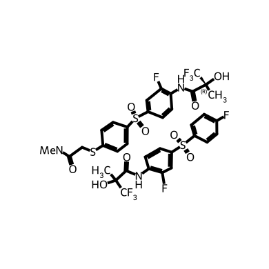 CC(O)(C(=O)Nc1ccc(S(=O)(=O)c2ccc(F)cc2)cc1F)C(F)(F)F.CNC(=O)CSc1ccc(S(=O)(=O)c2ccc(NC(=O)[C@@](C)(O)C(F)(F)F)c(F)c2)cc1